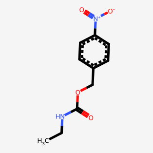 CCNC(=O)OCc1ccc([N+](=O)[O-])cc1